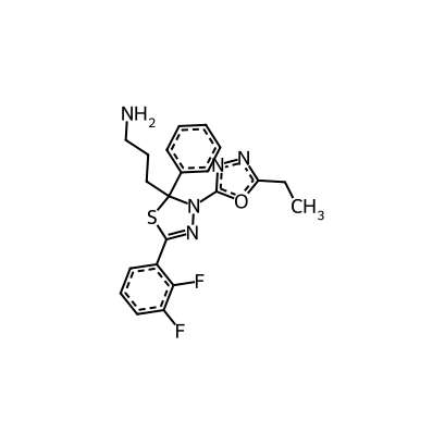 CCc1nnc(N2N=C(c3cccc(F)c3F)SC2(CCCN)c2ccccc2)o1